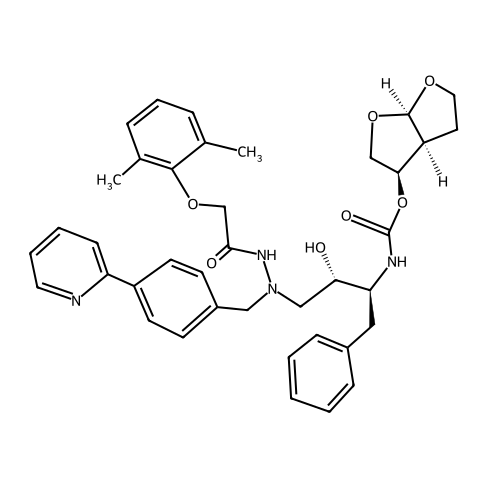 Cc1cccc(C)c1OCC(=O)NN(Cc1ccc(-c2ccccn2)cc1)C[C@H](O)[C@H](Cc1ccccc1)NC(=O)O[C@H]1CO[C@H]2OCC[C@H]21